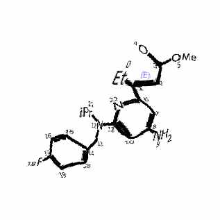 CC/C(=C\C(=O)OC)c1cc(N)cc(N(Cc2ccc(F)cc2)C(C)C)n1